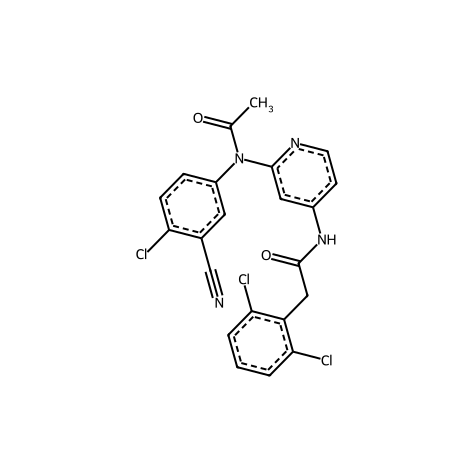 CC(=O)N(c1ccc(Cl)c(C#N)c1)c1cc(NC(=O)Cc2c(Cl)cccc2Cl)ccn1